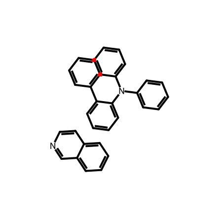 c1ccc(-c2ccccc2N(c2ccccc2)c2ccccc2)cc1.c1ccc2cnccc2c1